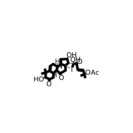 CC(=O)OC(C)(C)/C=C/C(=O)[C@@](O)(I)[C@H]1[C@H](O)C[C@@]2(C)[C@@H]3CC=C4[C@@H](CC(=O)[C@@H](O)C4(C)C)[C@]3(C)C(=O)C[C@]12C